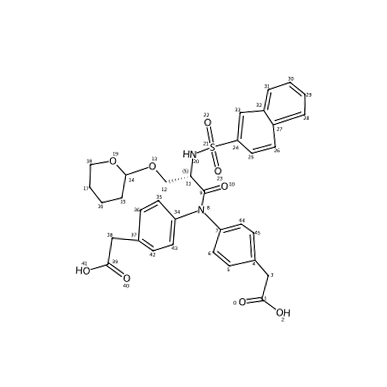 O=C(O)Cc1ccc(N(C(=O)[C@H](COC2CCCCO2)NS(=O)(=O)c2ccc3ccccc3c2)c2ccc(CC(=O)O)cc2)cc1